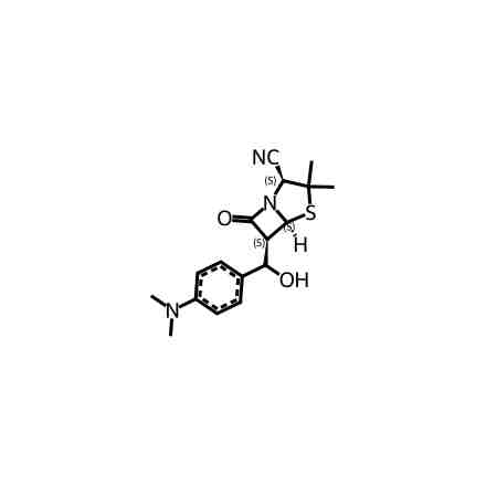 CN(C)c1ccc(C(O)[C@H]2C(=O)N3[C@@H](C#N)C(C)(C)S[C@@H]23)cc1